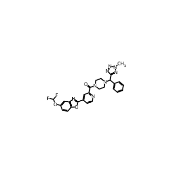 Cn1nnc(C(c2ccccc2)N2CCN(C(=O)c3cc(-c4nc5cc(OC(F)F)ccc5o4)ccn3)CC2)n1